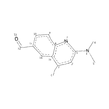 Cc1cc(N(C)C)nc2ccc(C=O)cc12